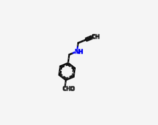 C#CCNCc1ccc(C=O)cc1